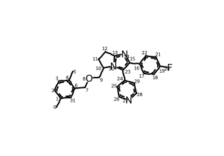 Cc1ccc(C)c(COCC2CCc3nc(-c4ccc(F)cc4)c(-c4ccncc4)n32)c1